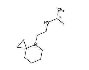 C[C@H](I)NCCN1CCCCC12CC2